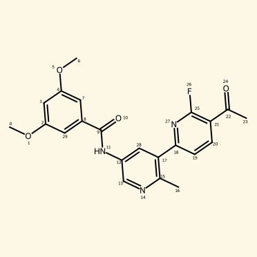 COc1cc(OC)cc(C(=O)Nc2cnc(C)c(-c3ccc(C(C)=O)c(F)n3)c2)c1